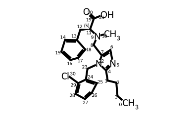 CCCCc1ncc(CN(C)[C@@H](Cc2ccccc2)C(=O)O)n1Cc1ccccc1Cl